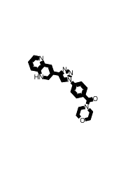 O=C(c1ccc(-n2cc(C3=Cc4ncccc4NC3)nn2)cc1)N1CCOCC1